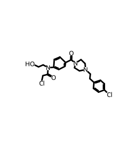 O=C(c1ccc(N(CCO)C(=O)CCl)cc1)N1CCN(CCc2ccc(Cl)cc2)CC1